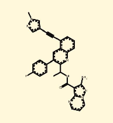 CC(NC(=O)c1c(N)nn2cccnc12)c1nc2cccc(C#Cc3cnn(C)c3)c2cc1-c1ccc(F)cc1